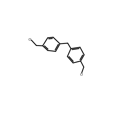 ClCc1ccc(Cc2ccc(CCl)cc2)cc1